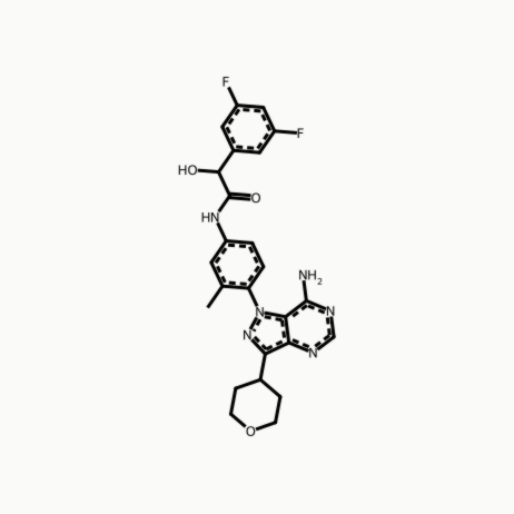 Cc1cc(NC(=O)C(O)c2cc(F)cc(F)c2)ccc1-n1nc(C2CCOCC2)c2ncnc(N)c21